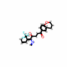 C=N/C(C(=O)CCC(=O)c1ccc2c(c1)CCCO2)=C(\C=C/C)C(F)(F)F